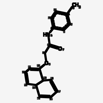 Cc1ccc(NC(=O)COC2=CC=CC3C=CC=CC23)cc1